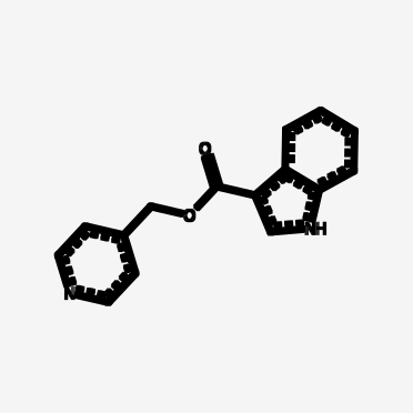 O=C(OCc1ccncc1)c1c[nH]c2ccccc12